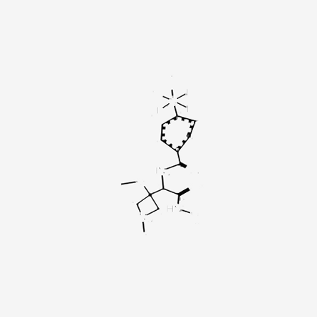 COC1(C(NC(=O)c2ccc(S(F)(F)(F)(F)F)cc2)C(=O)NO)CN(C)C1